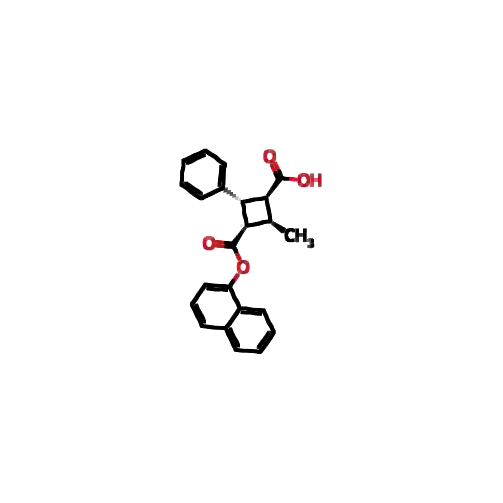 C[C@H]1[C@@H](C(=O)Oc2cccc3ccccc23)[C@H](c2ccccc2)[C@H]1C(=O)O